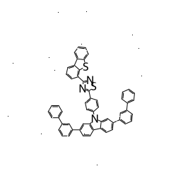 c1ccc(-c2cccc(-c3ccc4c5ccc(-c6cccc(-c7ccccc7)c6)cc5n(-c5ccc(-c6nc(-c7cccc8c7sc7ccccc78)ns6)cc5)c4c3)c2)cc1